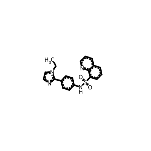 CCn1ccnc1-c1ccc(NS(=O)(=O)c2cccc3cccnc23)cc1